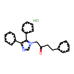 Cl.O=C(CCc1ccccc1)Cn1cnc(-c2ccccc2)c1-c1ccccc1